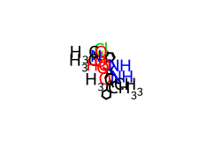 CC(Nc1c(Nc2ccc(Cl)c(S(=O)(=O)N(C)C)c2O)c(=O)c1=O)C(C)(C)CC1CCCCC1